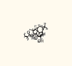 C/C=C(/C)C(=O)O[C@H]1C(C)=CC23C(O)[C@@H](C=C(CO)[C@@H](O)[C@]12O)C1C(C[C@H]3C)C1(C)C